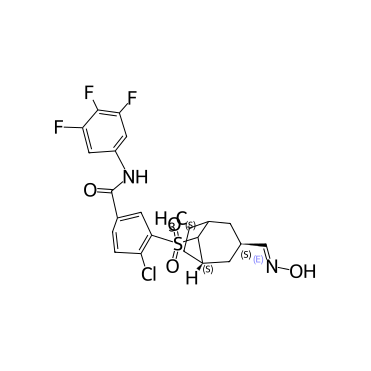 C[C@H]1C[C@H]2C[C@H](/C=N/O)CC1C2S(=O)(=O)c1cc(C(=O)Nc2cc(F)c(F)c(F)c2)ccc1Cl